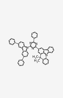 CC1(C)c2ccccc2-n2c3ccccc3c3cc(-c4nc(-c5ccccc5)nc(-n5c6ccc(-c7ccccc7)cc6c6cc(-c7ccccc7)ccc65)n4)cc1c32